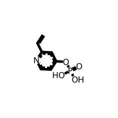 C=Cc1cc(OP(=O)(O)O)ccn1